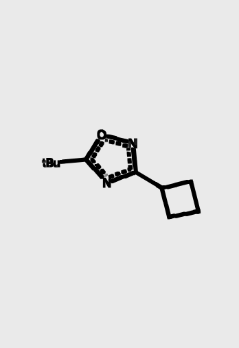 CC(C)(C)c1nc(C2CCC2)no1